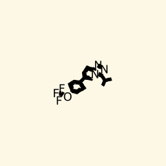 CC(C)c1nnc2ccc(-c3ccc(OC(F)(F)F)cc3)cn12